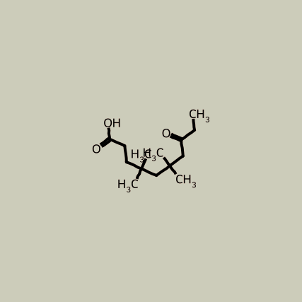 CCC(=O)CC(C)(C)CC(C)(C)CCC(=O)O